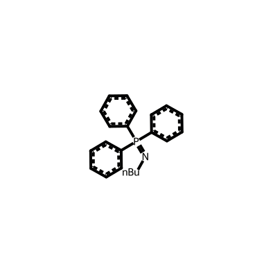 CCCCN=P(c1ccccc1)(c1ccccc1)c1ccccc1